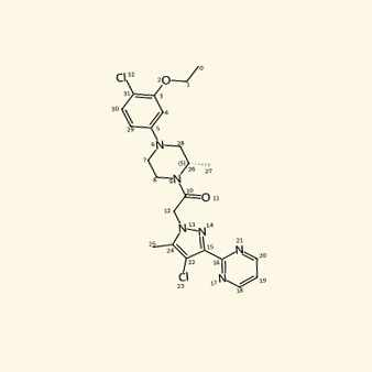 CCOc1cc(N2CCN(C(=O)Cn3nc(-c4ncccn4)c(Cl)c3C)[C@@H](C)C2)ccc1Cl